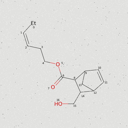 CC/C=C\CCOC(=O)C1C2C=CC(C2)C1CO